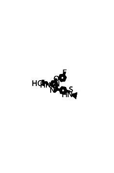 CC(C)(O)CNc1cc(Oc2cccc(F)c2)nn2c(-c3ccc(C(=S)NC4CC4)cc3)cnc12